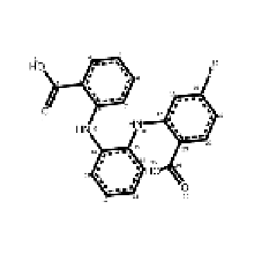 O=C(O)c1ccccc1Nc1ccccc1Nc1cc(F)ccc1C(=O)O